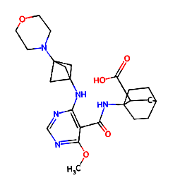 COc1ncnc(NC23CC(N4CCOCC4)(C2)C3)c1C(=O)NC12CCC(CC1)CC2C(=O)O